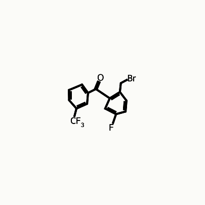 O=C(c1cccc(C(F)(F)F)c1)c1cc(F)ccc1CBr